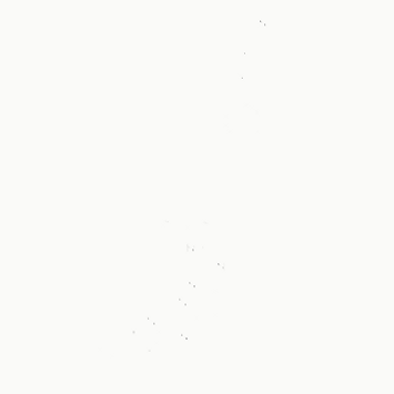 Cc1c(Nc2nc3ccccc3s2)nnc2c1CCCN2c1nc(C(=O)O)c(CCCOc2ccc(C34CC(CN(C)C)(C3)C4)cc2F)s1